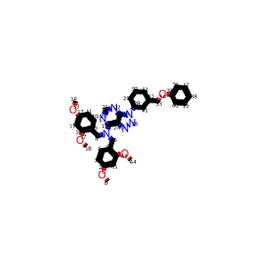 COc1ccc(CN(Cc2ccc(OC)cc2OC)c2ncnc3c2nnn3C2CCCC(COc3ccccc3)C2)c(OC)c1